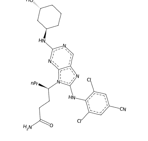 CCC[C@H](CCC(N)=O)n1c(Nc2c(Cl)cc(C#N)cc2Cl)nc2cnc(N[C@@H]3CCC[C@@H](O)C3)nc21